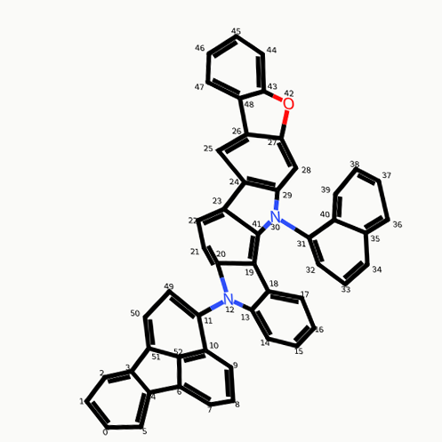 c1ccc2c(c1)-c1cccc3c(-n4c5ccccc5c5c4ccc4c6cc7c(cc6n(-c6cccc8ccccc68)c45)oc4ccccc47)ccc-2c13